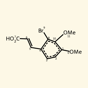 COc1ccc(/C=C/C(=O)O)c(Br)c1OC